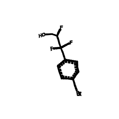 OC(F)C(F)(F)c1ccc(Br)cc1